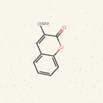 COc1[c]c2ccccc2oc1=O